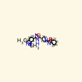 Cc1nn(C)c2cc(C3=NOC(C4CCN(c5nc6ccccc6o5)CC4)N3)ccc12